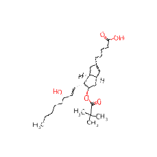 CCCCC[C@H](O)/C=C/[C@@H]1[C@H]2CC(CCCCC(=O)O)=C[C@H]2C[C@H]1OC(=O)C(C)(C)C